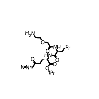 CC(C)C[C@H](NC(=O)COCCN)C(=O)N[C@@H](CCC(=O)C=[N+]=[N-])C(=O)OC(C)C